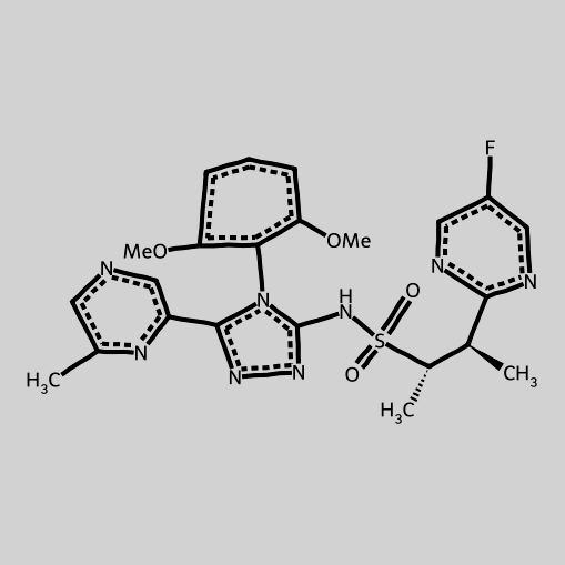 COc1cccc(OC)c1-n1c(NS(=O)(=O)[C@@H](C)[C@H](C)c2ncc(F)cn2)nnc1-c1cncc(C)n1